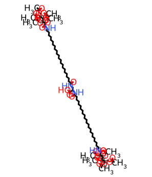 CC(=O)OC[C@H](OC(C)=O)[C@@H](OC(C)=O)[C@H](OC(C)=O)[C@@H](OC(C)=O)C(=O)NCCCCCCCCCCCCCCCCCCCCCCCC(=O)NC(CNC(=O)CCCCCCCCCCCCCCCCCCCCCCCNC(=O)C(OC(C)=O)[C@H](OC(C)=O)C(OC(C)=O)[C@@H](COC(C)=O)OC(C)=O)C(=O)O